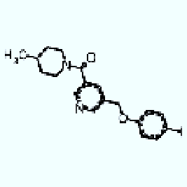 CC1CCN(C(=O)c2cncc(COc3ccc(I)cc3)c2)CC1